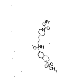 CC(C)OC(=O)N1CCC(CCCNC(=O)c2ccc3c(c2)CCN(S(C)(=O)=O)C3)CC1